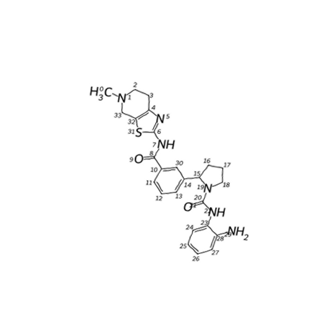 CN1CCc2nc(NC(=O)c3cccc(C4CCCN4C(=O)Nc4ccccc4N)c3)sc2C1